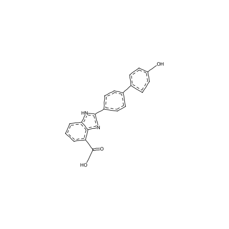 O=C(O)c1cccc2[nH]c(-c3ccc(-c4ccc(O)cc4)cc3)nc12